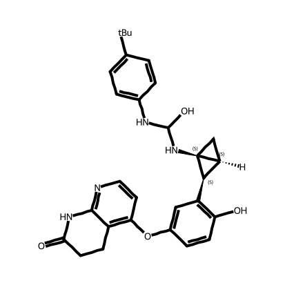 CC(C)(C)c1ccc(NC(O)N[C@@]23C[C@H]2[C@H]3c2cc(Oc3ccnc4c3CCC(=O)N4)ccc2O)cc1